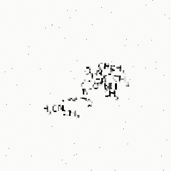 CNC(=O)[C@H](C(C)C)N(C)C(=O)C1(O)CCN(C(=O)C#CCN(C)C)C1